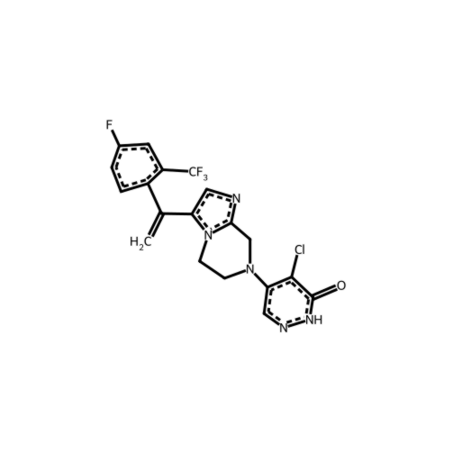 C=C(c1ccc(F)cc1C(F)(F)F)c1cnc2n1CCN(c1cn[nH]c(=O)c1Cl)C2